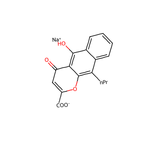 CCCc1c2ccccc2c(O)c2c(=O)cc(C(=O)[O-])oc12.[Na+]